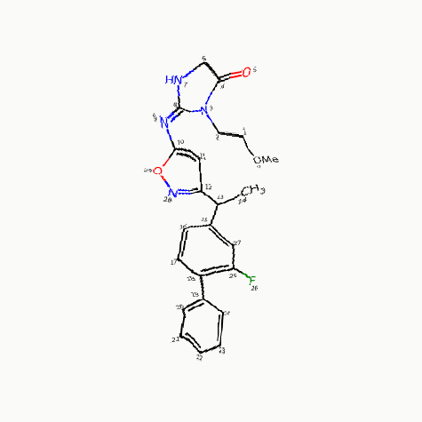 COCCN1C(=O)CNC1=Nc1cc(C(C)c2ccc(-c3ccccc3)c(F)c2)no1